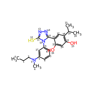 CCCN(C)c1cccc(-n2c(S)nnc2-c2cc(C(C)C)c(O)cc2O)c1